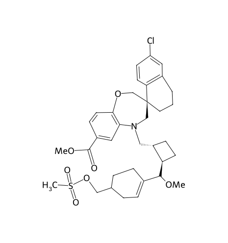 COC(=O)c1ccc2c(c1)N(C[C@@H]1CC[C@H]1C(OC)C1=CCC(COS(C)(=O)=O)CC1)C[C@@]1(CCCc3cc(Cl)ccc31)CO2